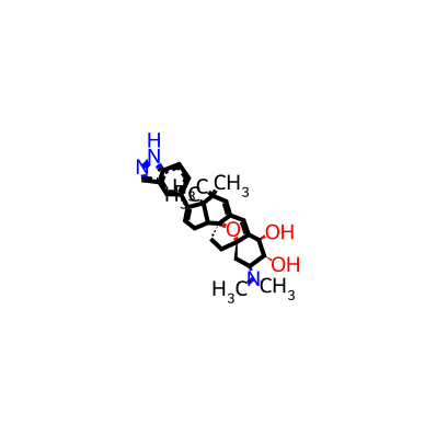 CN(C)[C@H]1C[C@@]23CC[C@@]4(O2)C(=CC(C)(C)[C@]2(C)C(c5ccc6[nH]ncc6c5)=CCC42)C=C3[C@@H](O)[C@@H]1O